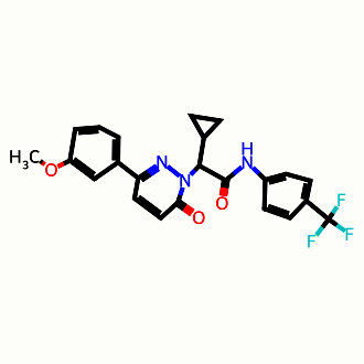 COc1cccc(-c2ccc(=O)n(C(C(=O)Nc3ccc(C(F)(F)F)cc3)C3CC3)n2)c1